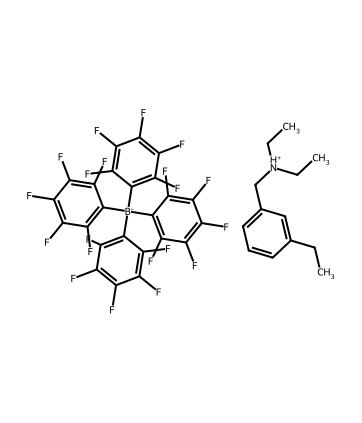 CCc1cccc(C[NH+](CC)CC)c1.Fc1c(F)c(F)c([B-](c2c(F)c(F)c(F)c(F)c2F)(c2c(F)c(F)c(F)c(F)c2F)c2c(F)c(F)c(F)c(F)c2F)c(F)c1F